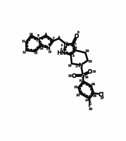 O=c1c2c([nH]n1Cc1cn3ccccc3n1)CN(S(=O)(=O)c1ccc(F)c(Cl)c1)CC2